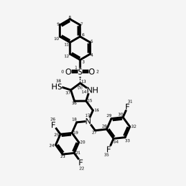 O=S(=O)(c1ccc2ccccc2c1)[C@@H]1NC(CN(Cc2cc(F)ccc2F)Cc2cc(F)ccc2F)CC1S